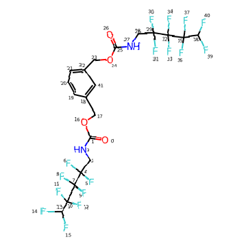 O=C(NCC(F)(F)C(F)(F)C(F)(F)C(F)F)OCc1cccc(COC(=O)NCC(F)(F)C(F)(F)C(F)(F)C(F)F)c1